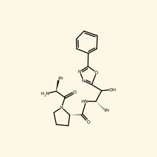 CC(C)[C@H](NC(=O)[C@@H]1CCCN1C(=O)[C@@H](N)C(C)C)C(O)c1nnc(-c2ccccc2)o1